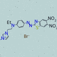 CCN(CCn1cc[n+](C)c1)c1ccc(N=Nc2nc3cc([N+](=O)[O-])c([N+](=O)[O-])cc3s2)cc1.[Br-]